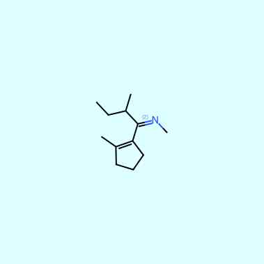 CCC(C)/C(=N/C)C1=C(C)CCC1